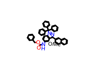 COc1c(NC(=O)OCc2ccccc2)ccc2c1c(-c1ccc3ccccc3c1)nn2C(c1ccccc1)(c1ccccc1)c1ccccc1